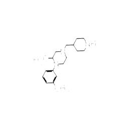 Cc1cccc(N2CCN(CC3CCNCC3)CC2C)c1